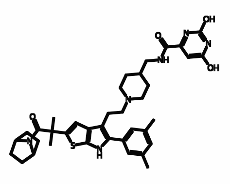 Cc1cc(C)cc(-c2[nH]c3sc(C(C)(C)C(=O)N4C5CCC4CC5)cc3c2CCN2CCC(CNC(=O)c3cc(O)nc(O)n3)CC2)c1